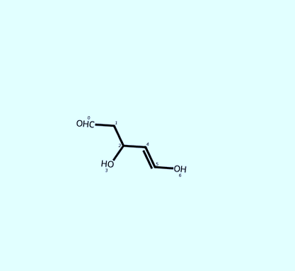 O=CCC(O)C=CO